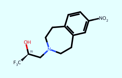 O=[N+]([O-])c1ccc2c(c1)CCN(C[C@H](O)C(F)(F)F)CC2